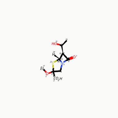 CCOC1(C(=O)O)CN2C(=O)[C@H](C(C)O)[C@H]2S1